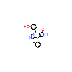 O=C1C=C(Cc2c(Cc3ccccc3)ncn2Cc2cccc(O)c2)CN1